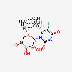 CC(=O)O.CC(=O)O.CC(=O)O.O=c1[nH]c(=O)n([C@H]2OC[C@H](O)[C@H](O)[C@@H]2O)cc1F